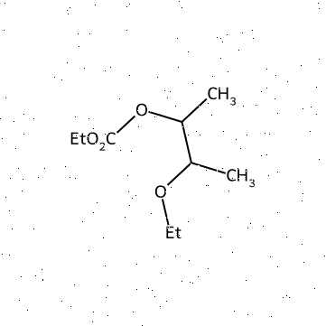 CCOC(=O)OC(C)C(C)OCC